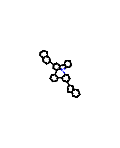 c1ccc2c(c1)-c1cc(-c3ccc4ccccc4c3)ccc1-n1c3ccccc3c3cc(-c4ccc5ccccc5c4)cc-2c31